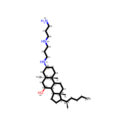 CC(C)CCC[C@@H](C)C1CCC2C3C(CC[C@@]21C)[C@@]1(C)CC[C@H](NCCCNCCCN)C[C@@H]1C[C@@H]3O